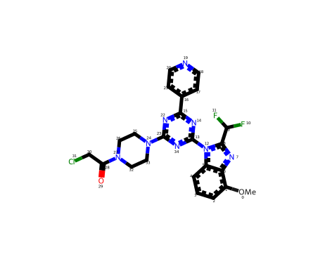 COc1cccc2c1nc(C(F)F)n2-c1nc(-c2ccncc2)nc(N2CCN(C(=O)CCl)CC2)n1